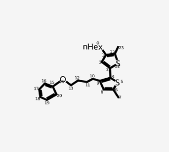 CCCCCCc1cc(-c2sc(C)cc2CCCCOc2ccccc2)sc1C